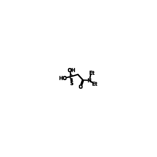 CCN(CC)C(=O)CP(O)(O)=S